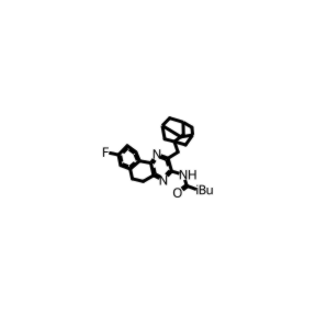 CCC(C)C(=O)Nc1nc2c(nc1CC13CC4CC(CC(C4)C1)C3)-c1ccc(F)cc1CC2